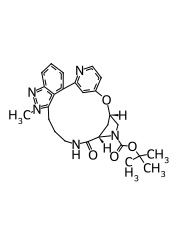 Cn1nc2cccc3c2c1CCCNC(=O)[C@@H]1C[C@@H](CN1C(=O)OC(C)(C)C)Oc1ccnc-3c1